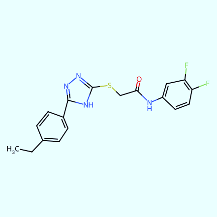 CCc1ccc(-c2nnc(SCC(=O)Nc3ccc(F)c(F)c3)[nH]2)cc1